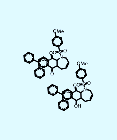 COc1ccc(S(=O)(=O)N2CC=CCC(C(=O)c3ccccc3)C2C(=O)NOC(c2ccccc2)c2ccccc2)cc1.COc1ccc(S(=O)(=O)N2CC=CCC(C(O)c3ccccc3)C2C(=O)NOC(c2ccccc2)c2ccccc2)cc1